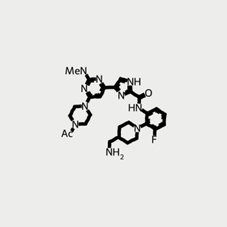 CNc1nc(-c2c[nH]c(C(=O)Nc3cccc(F)c3N3CCC(CN)CC3)n2)cc(N2CCN(C(C)=O)CC2)n1